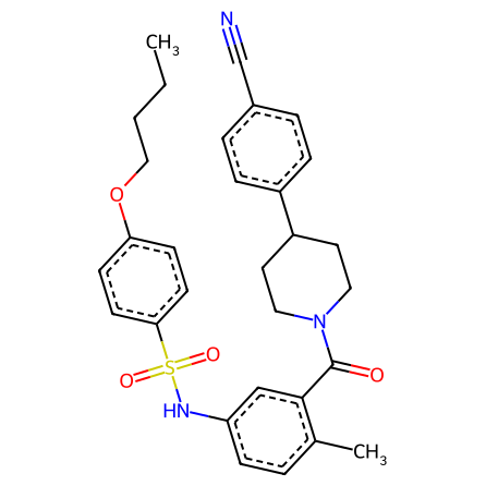 CCCCOc1ccc(S(=O)(=O)Nc2ccc(C)c(C(=O)N3CCC(c4ccc(C#N)cc4)CC3)c2)cc1